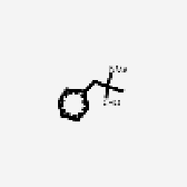 CNC(C)(C=O)Cc1ccccc1